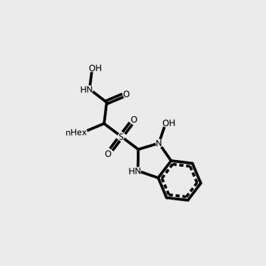 CCCCCCC(C(=O)NO)S(=O)(=O)C1Nc2ccccc2N1O